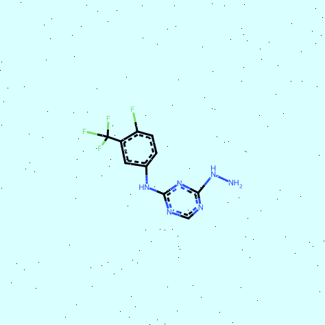 NNc1ncnc(Nc2ccc(F)c(C(F)(F)F)c2)n1